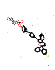 CCCCCC(=O)Oc1ccc(-c2ccc(-c3cc4c(c5ccccc35)C=CC(c3ccccc3)(c3ccc(F)cc3)O4)cc2)cc1